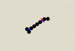 c1ccc(-c2ccc3oc(-c4ccc(-c5ccc(-c6ccc(-c7ccc(-n8c9ccccc9c9ccccc98)cc7)cc6)cc5)cc4)nc3c2)cc1